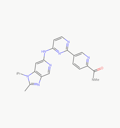 CNC(=O)c1ccc(-c2nccc(Nc3cc4c(cn3)nc(C)n4C(C)C)n2)cn1